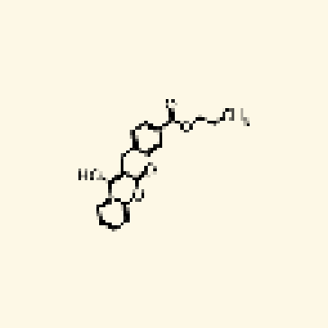 CCCOC(=O)c1ccc(Cc2c(O)c3ccccc3oc2=O)cc1